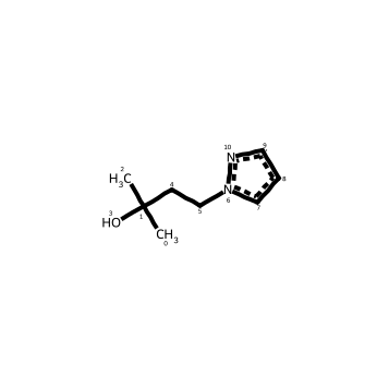 CC(C)(O)CCn1cc[c]n1